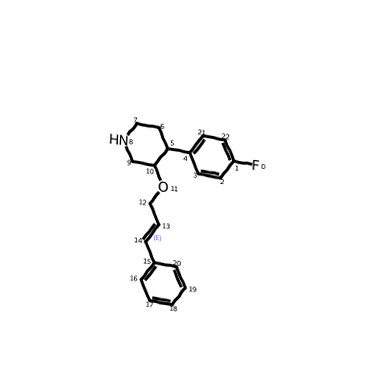 Fc1ccc(C2CCNCC2OC/C=C/c2ccccc2)cc1